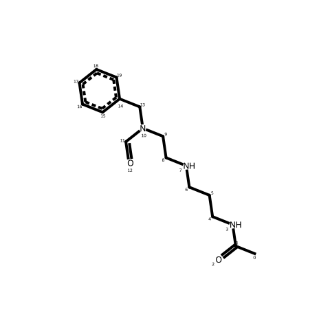 CC(=O)NCCCNCCN(C=O)Cc1ccccc1